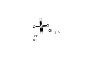 O=S(=O)([O-])[O-].[Bi+3].[Cl-].[Cl-].[K+]